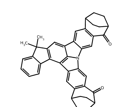 CC1(C)c2ccccc2-c2c1cc1c3cc4c(cc3n3c5cc6c(cc5c2c13)C1CCC(CC1)C6=O)C(=O)C1CCC4CC1